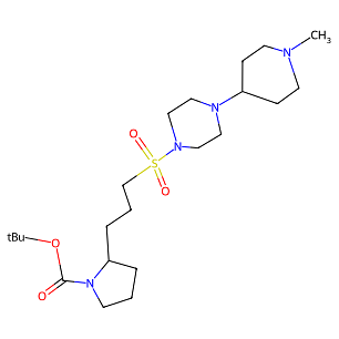 CN1CCC(N2CCN(S(=O)(=O)CCCC3CCCN3C(=O)OC(C)(C)C)CC2)CC1